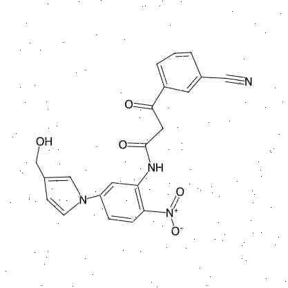 N#Cc1cccc(C(=O)CC(=O)Nc2cc(-n3ccc(CO)c3)ccc2[N+](=O)[O-])c1